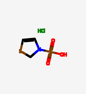 Cl.O=S(=O)(O)N1C=CSC1